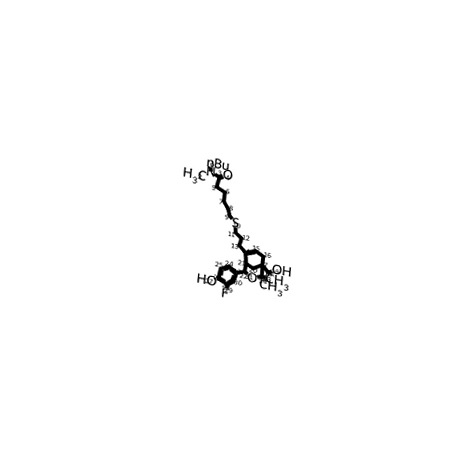 CCCCN(C)C(=O)CCCCCSCCCC1=CCC2(CO)CC1C(c1ccc(O)c(F)c1)OC2(C)C